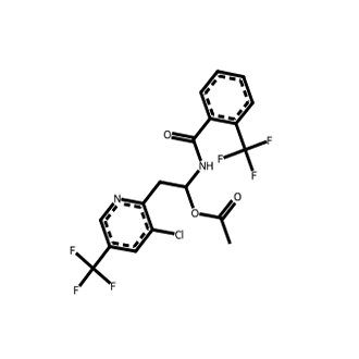 CC(=O)OC(Cc1ncc(C(F)(F)F)cc1Cl)NC(=O)c1ccccc1C(F)(F)F